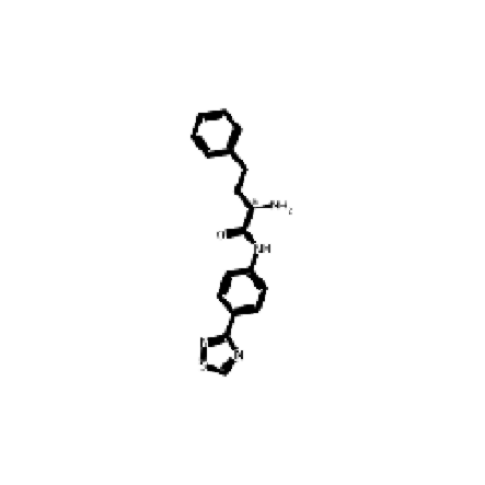 N[C@H](CCc1ccccc1)C(=O)Nc1ccc(-c2ncsn2)cc1